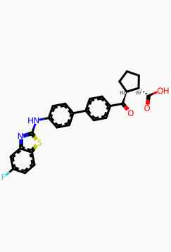 O=C(O)[C@H]1CCC[C@@H]1C(=O)c1ccc(-c2ccc(Nc3nc4cc(F)ccc4s3)cc2)cc1